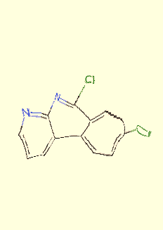 Clc1ccc2c(c1)c(Cl)nc1ncccc12